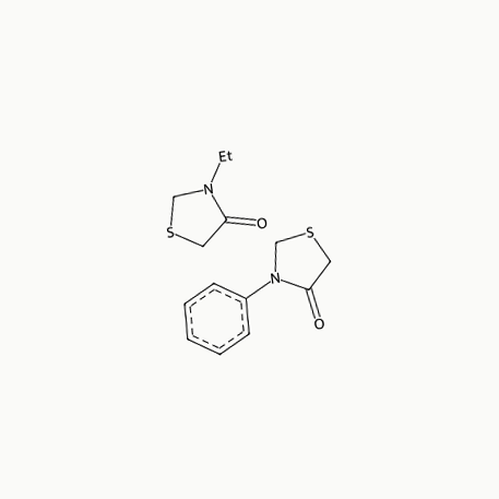 CCN1CSCC1=O.O=C1CSCN1c1ccccc1